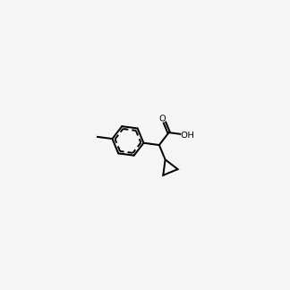 Cc1ccc(C(C(=O)O)C2CC2)cc1